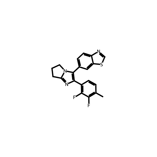 Cc1ccc(-c2nc3n(c2-c2ccc4ncsc4c2)CCC3)c(F)c1F